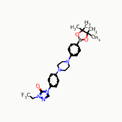 CC1(C)OB(c2ccc(N3CCN(c4ccc(-n5cnn(CC(F)(F)F)c5=O)cc4)CC3)cc2)OC1(C)C